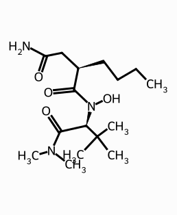 CCCC[C@H](CC(N)=O)C(=O)N(O)[C@H](C(=O)N(C)C)C(C)(C)C